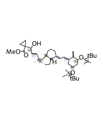 C=C1/C(=C/C=C2\CCC[C@]3(C)[C@@H]([C@H](C)/C=C/[C@H](O)C4(C(=O)OC)CC4)CC[C@@H]23)C[C@@H](O[Si](C)(C)C(C)(C)C)C[C@@H]1O[Si](C)(C)C(C)(C)C